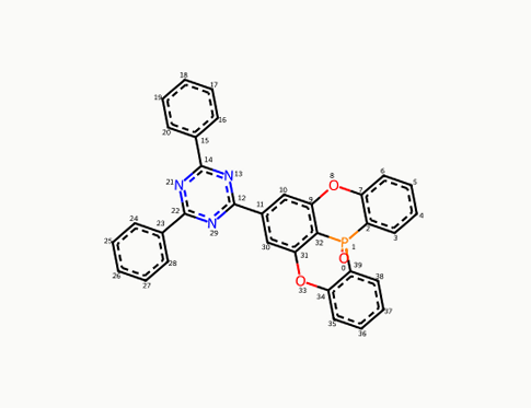 O=P12c3ccccc3Oc3cc(-c4nc(-c5ccccc5)nc(-c5ccccc5)n4)cc(c31)Oc1ccccc12